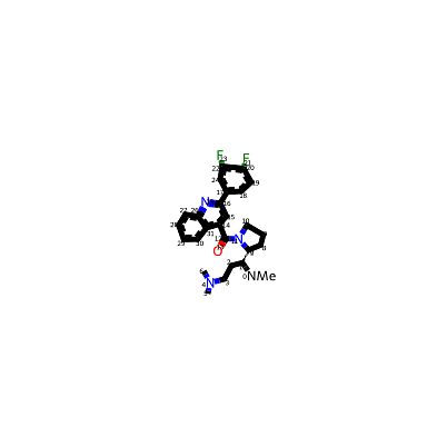 CNC(CCN(C)C)[C@H]1CCCN1C(=O)c1cc(-c2ccc(F)c(F)c2)nc2ccccc12